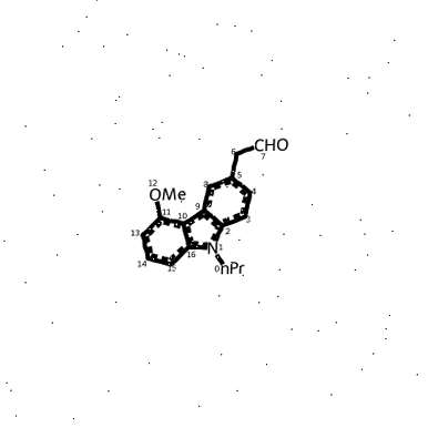 CCCn1c2ccc(CC=O)cc2c2c(OC)cccc21